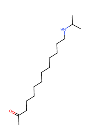 CC(=O)CCCCCCCCCCCNC(C)C